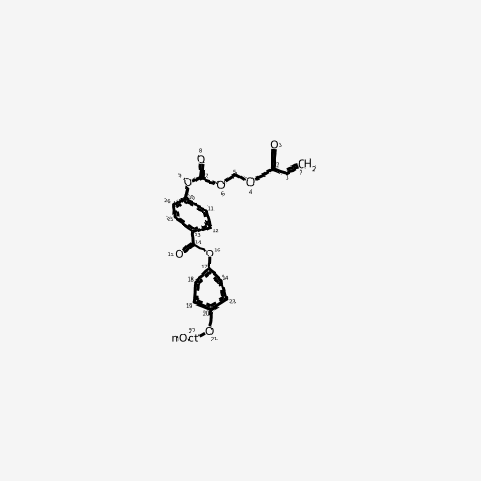 C=CC(=O)OCOC(=O)Oc1ccc(C(=O)Oc2ccc(OCCCCCCCC)cc2)cc1